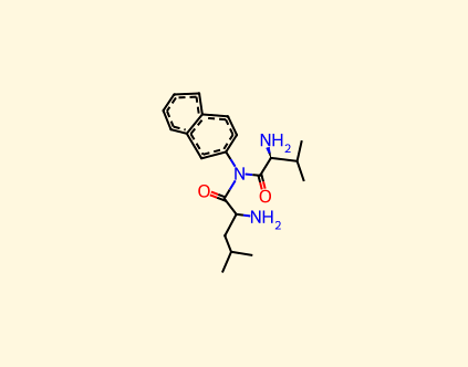 CC(C)CC(N)C(=O)N(C(=O)[C@@H](N)C(C)C)c1ccc2ccccc2c1